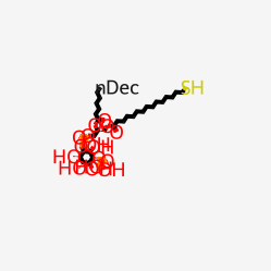 CCCCCCCCCCCCCCCC(=O)O[C@H](COC(=O)CCCCCCCCCCCCCCS)COP(=O)(O)OC1C(O)[C@H](OP(=O)(O)O)C(O)[C@H](O)[C@@H]1O